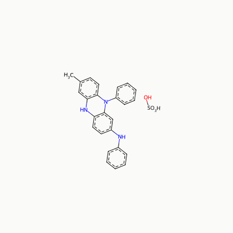 Cc1ccc2c(c1)Nc1ccc(Nc3ccccc3)cc1N2c1ccccc1.O=S(=O)(O)O